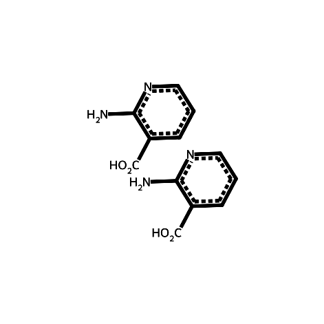 Nc1ncccc1C(=O)O.Nc1ncccc1C(=O)O